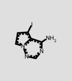 Nc1ncnn2ccc(I)c12